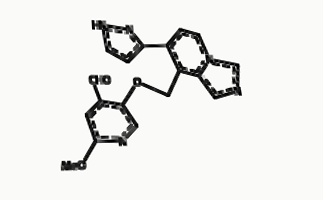 COc1cc(C=O)c(OCc2c(-c3cc[nH]n3)ccn3cncc23)cn1